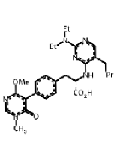 CCN(CC)c1ncc(CC(C)C)c(N[C@@H](Cc2ccc(-c3c(OC)ncn(C)c3=O)cc2)C(=O)O)n1